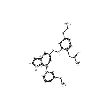 NCCc1ccc(CC(=O)O)c(OCc2cc(-c3cccc(CN)c3)c3occc3c2)c1